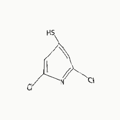 Sc1cc(Cl)nc(Cl)c1